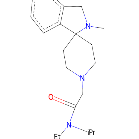 CCN(C(=O)CN1CCC2(CC1)c1ccccc1CN2C)C(C)C